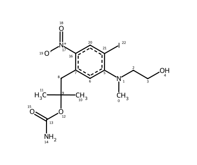 CN(CCO)c1cc(CC(C)(C)OC(N)=O)c([N+](=O)[O-])cc1I